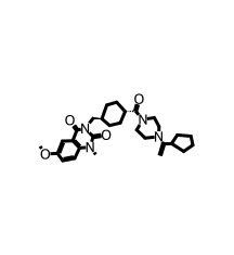 C=C(C1CCCC1)N1CCN(C(=O)[C@H]2CC[C@H](Cn3c(=O)c4cc(OC)ccc4n(C)c3=O)CC2)CC1